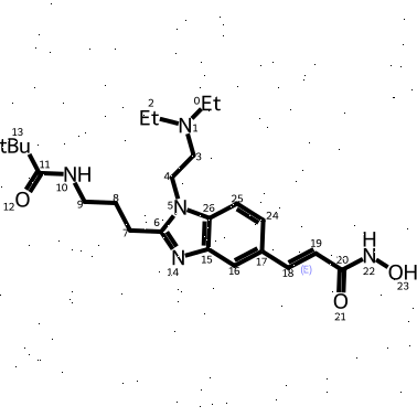 CCN(CC)CCn1c(CCCNC(=O)C(C)(C)C)nc2cc(/C=C/C(=O)NO)ccc21